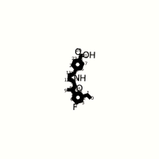 CCc1cc(F)cc2c(C)c(-c3ccc(-c4ccc(C(=O)O)cc4)[nH]3)oc12